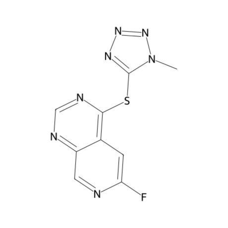 Cn1nnnc1Sc1ncnc2cnc(F)cc12